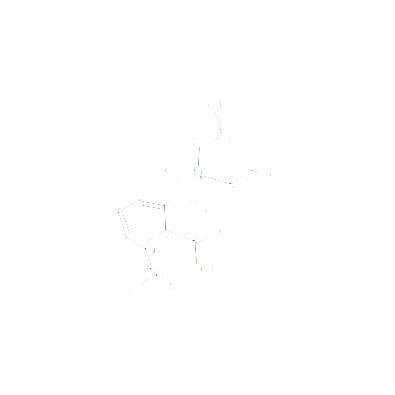 O=C(O)c1c([N+](=O)[O-])cccc1S(=O)(=O)N(CCO)CCO